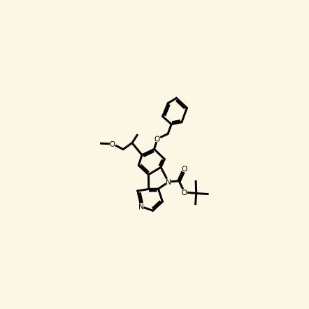 COCC(C)c1cc2c3cnccc3n(C(=O)OC(C)(C)C)c2cc1OCc1ccccc1